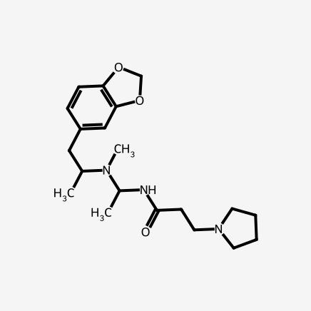 CC(Cc1ccc2c(c1)OCO2)N(C)C(C)NC(=O)CCN1CCCC1